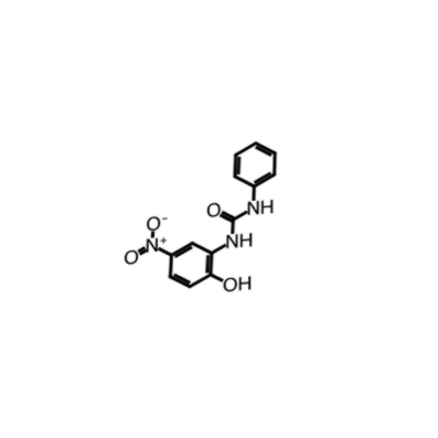 O=C(Nc1ccccc1)Nc1cc([N+](=O)[O-])ccc1O